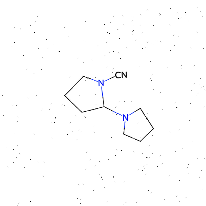 N#CN1CCCC1N1CCCC1